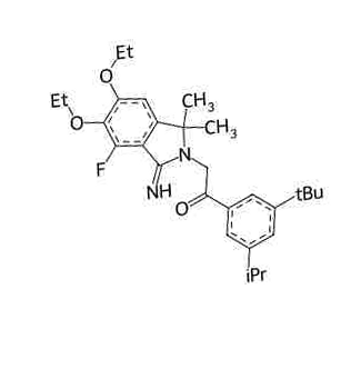 CCOc1cc2c(c(F)c1OCC)C(=N)N(CC(=O)c1cc(C(C)C)cc(C(C)(C)C)c1)C2(C)C